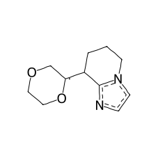 c1cn2c(n1)C([C]1COCCO1)CCC2